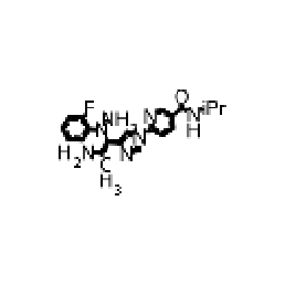 C/C(N)=C(\c1cn(-c2ccc(C(=O)NC(C)C)cn2)cn1)N(N)c1ccccc1F